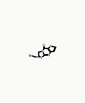 O=c1c2sccc2nc2n1C[C@H](CBr)S2